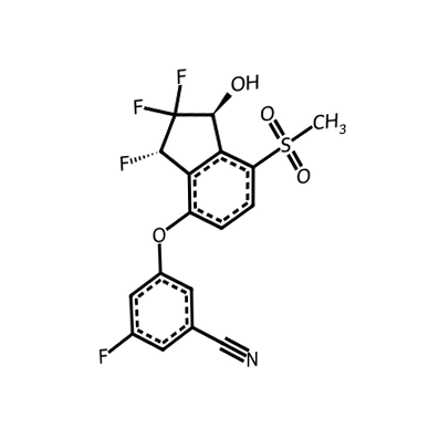 CS(=O)(=O)c1ccc(Oc2cc(F)cc(C#N)c2)c2c1[C@H](O)C(F)(F)[C@H]2F